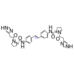 O=C(Nc1ccc(/C=C/c2ccc(NC(=O)[C@@H]3CCCN3C(=O)Cc3c[nH]cn3)cc2)cc1)[C@@H]1CCCN1C(=O)Cc1c[nH]cn1